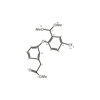 COC(=O)Cc1cccc(Oc2ccc(C(F)(F)F)cc2C(OC)OC)c1